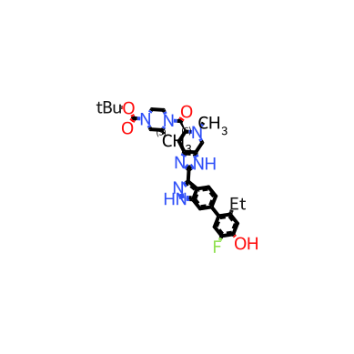 CCc1cc(O)c(F)cc1-c1ccc2c(-c3nc4c([nH]3)CN(C)[C@H](C(=O)N3CCN(C(=O)OC(C)(C)C)C[C@@H]3C)C4)n[nH]c2c1